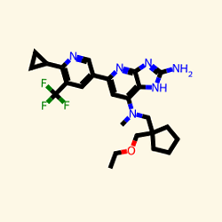 CCOCC1(CN(C)c2cc(-c3cnc(C4CC4)c(C(F)(F)F)c3)nc3nc(N)[nH]c23)CCCC1